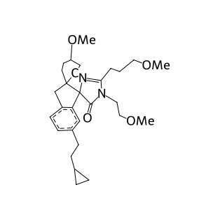 COCCCC1=NC2(C(=O)N1CCOC)c1cc(CCC3CC3)ccc1CC21CCC(OC)CC1